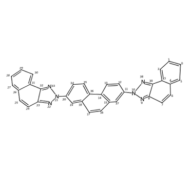 c1ccc2c(c1)ccc1nn(-c3ccc4c(ccc5cc(-n6nc7ccc8ccccc8c7n6)ccc54)c3)nc12